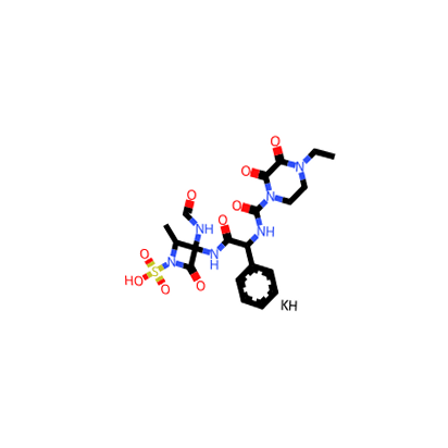 CCN1CCN(C(=O)NC(C(=O)NC2(NC=O)C(=O)N(S(=O)(=O)O)C2C)c2ccccc2)C(=O)C1=O.[KH]